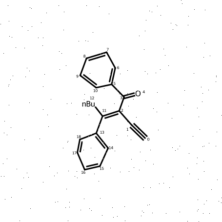 C#CC(C(=O)c1ccccc1)=C(CCCC)c1ccccc1